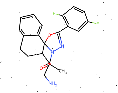 CC(=O)N1N=C(c2cc(F)ccc2F)OC12c1ccccc1CCC2CCN